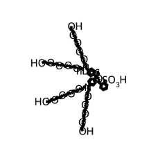 CCCCCCCCCCCC(OCc1ccccc1S(=O)(=O)O)(c1ccc(N(CCOCCOCCOCCOCCO)CCOCCOCCOCCOCCO)cc1)c1ccc(N(CCOCCOCCOCCOCCO)CCOCCOCCOCCOCCO)cc1